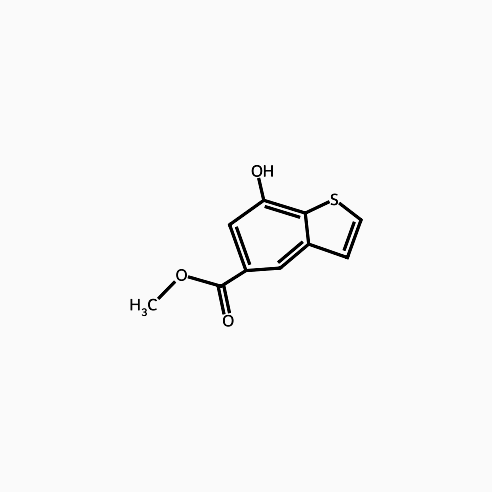 COC(=O)c1cc(O)c2sccc2c1